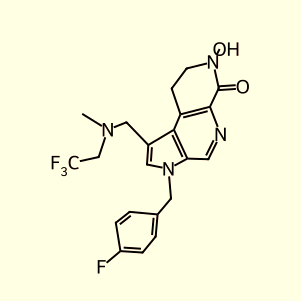 CN(Cc1cn(Cc2ccc(F)cc2)c2cnc3c(c12)CCN(O)C3=O)CC(F)(F)F